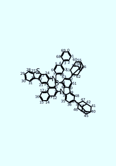 c1ccc(-c2ccc(N3B4c5c(cc6ccccc6c5-c5cc6c(cc53)sc3ccccc36)-n3c5ccc(C67CC8CC(CC(C8)C6)C7)cc5c5cc(C67CC8CC(CC(C8)C6)C7)cc4c53)cc2)cc1